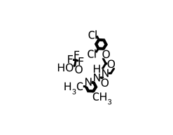 Cc1cc(C)nc(NC(=O)N2CCOC(COc3ccc(Cl)cc3Cl)C2)c1.O=C(O)C(F)(F)F